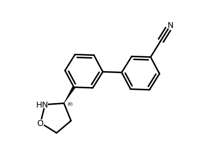 N#Cc1cccc(-c2cccc([C@H]3CCON3)c2)c1